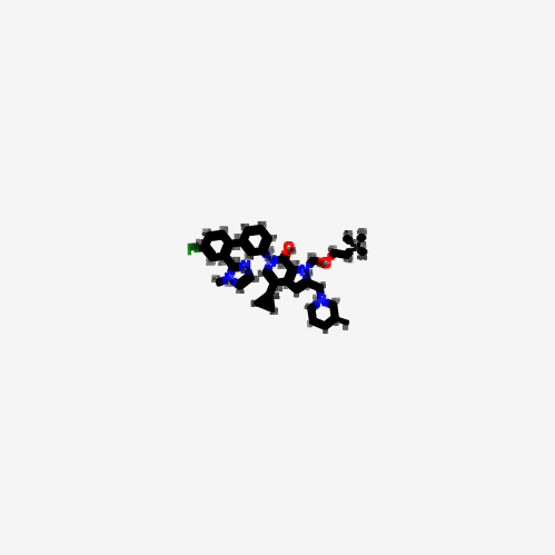 C[C@H]1CCCN(Cc2cc3c(C4CC4)cn(-c4cccc(-c5ccc(F)cc5-c5nccn5C)c4)c(=O)c3n2COCC[Si](C)(C)C)C1